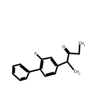 CCC(=O)C(C)c1ccc(-c2ccccc2)c(F)c1